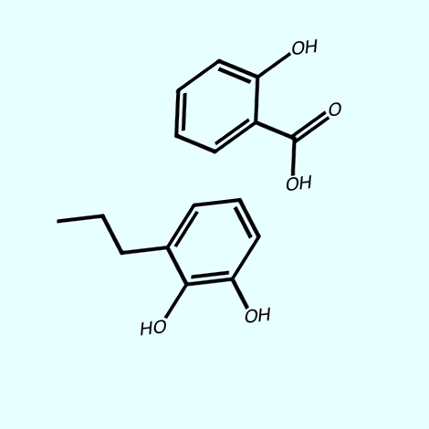 CCCc1cccc(O)c1O.O=C(O)c1ccccc1O